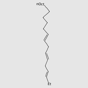 [CH2]CCCCCCCCCCCC=CCC=CCC=CCC